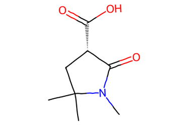 CN1C(=O)[C@@H](C(=O)O)CC1(C)C